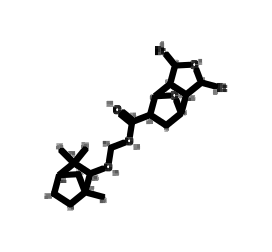 CCC1OC(CC)C2C3OC(CC3C(=O)OCOC3C4(C)CCC(C4)C3(C)C)C12